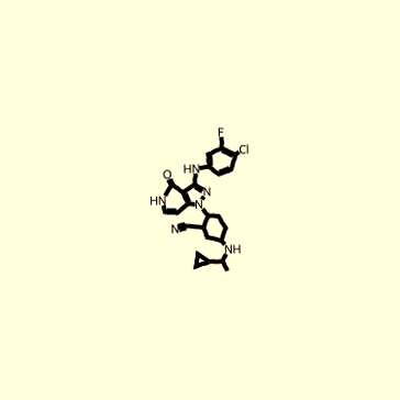 CC(NC1CCC(n2nc(Nc3ccc(Cl)c(F)c3)c3c(=O)[nH]ccc32)C(C#N)C1)C1CC1